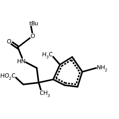 Cc1cc(N)ccc1C(C)(CNC(=O)OC(C)(C)C)CC(=O)O